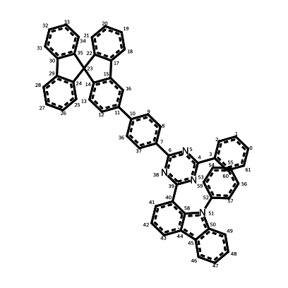 c1ccc(-c2nc(-c3ccc(-c4ccc5c(c4)-c4ccccc4C54c5ccccc5-c5ccccc54)cc3)nc(-c3cccc4c5ccccc5n(-c5ccccc5)c34)n2)cc1